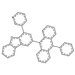 c1ccc(-c2c3ccccc3c(-c3cc(-c4cccnc4)c4oc5ccccc5c4c3)c3ccccc23)cc1